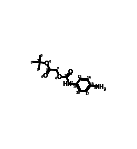 CC(C)(C)OC(=O)COC(=O)Nc1ccc(N)cc1